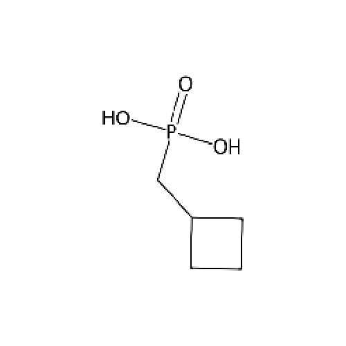 O=P(O)(O)CC1CCC1